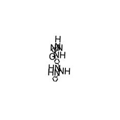 N=C(NCc1ccccc1)NCc1ccc(C(=O)Nc2ccnc3[nH]ncc23)cc1